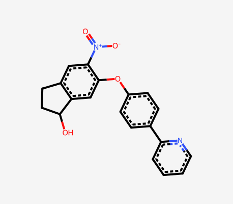 O=[N+]([O-])c1cc2c(cc1Oc1ccc(-c3ccccn3)cc1)C(O)CC2